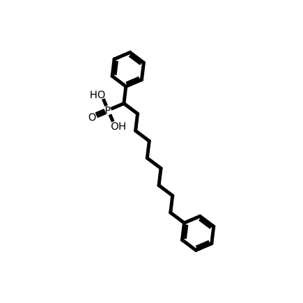 O=P(O)(O)C(CCCCCCCCc1ccccc1)c1ccccc1